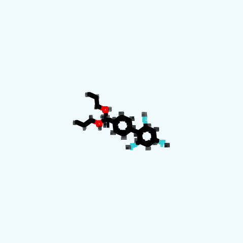 CCCO[SiH](OCCC)c1ccc(-c2c(F)cc(F)cc2F)cc1